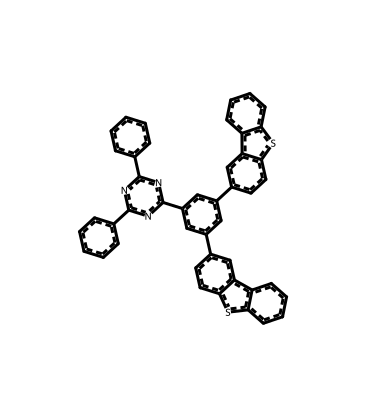 c1ccc(-c2nc(-c3ccccc3)nc(-c3cc(-c4ccc5sc6ccccc6c5c4)cc(-c4ccc5sc6ccccc6c5c4)c3)n2)cc1